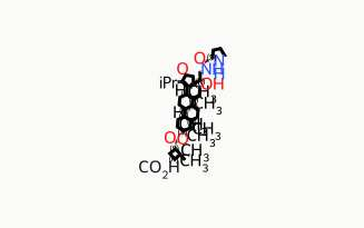 CC(C)C1=C2[C@H]3CC[C@@H]4[C@@]5(C)CC[C@H](OC(=O)[C@H]6C[C@@H](C(=O)O)C6(C)C)C(C)(C)[C@@H]5CC[C@@]4(C)[C@]3(C)CC[C@@]2([C@@H](O)CNC(=O)[C@@H]2CCCN2)CC1=O